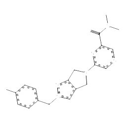 CN(C)C(=O)c1cncc(N2Cc3cn(Cc4ccc(F)cc4)nc3C2)n1